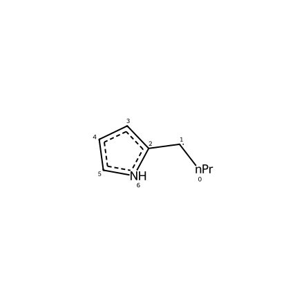 CCC[CH]c1ccc[nH]1